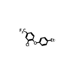 C[CH]c1ccc(Oc2ccc(C(F)(F)F)cc2Cl)cc1